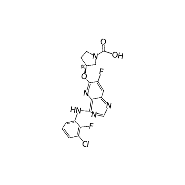 O=C(O)N1CC[C@H](Oc2nc3c(Nc4cccc(Cl)c4F)ncnc3cc2F)C1